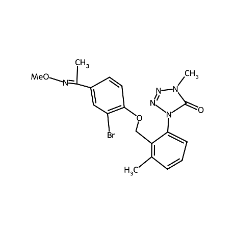 CON=C(C)c1ccc(OCc2c(C)cccc2-n2nnn(C)c2=O)c(Br)c1